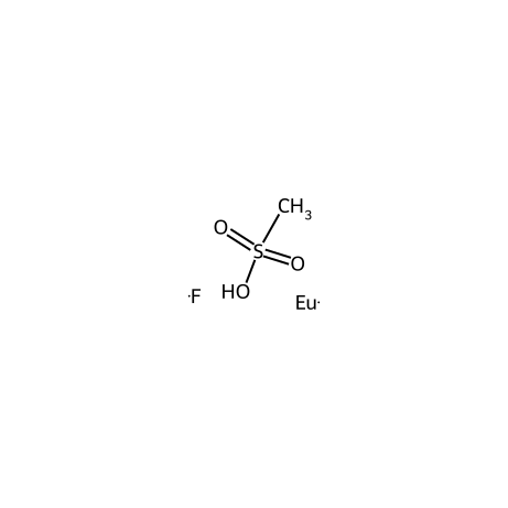 CS(=O)(=O)O.[Eu].[F]